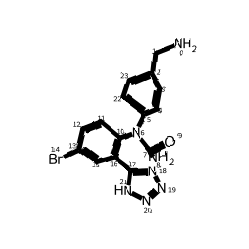 NCc1ccc(N(C(N)=O)c2ccc(Br)cc2-c2nnn[nH]2)cc1